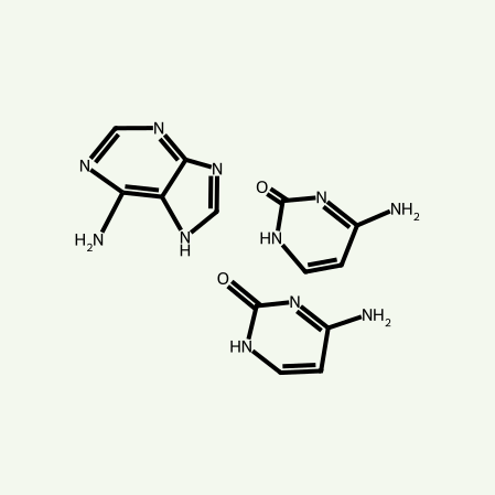 Nc1cc[nH]c(=O)n1.Nc1cc[nH]c(=O)n1.Nc1ncnc2nc[nH]c12